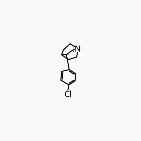 Clc1ccc([C]2[CH]N3CCC2CC3)cc1